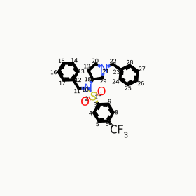 O=S(=O)(c1ccc(C(F)(F)F)cc1)N(Cc1ccccc1)C1CCN(Cc2ccccc2)C1